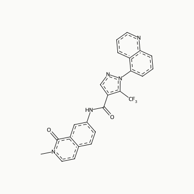 Cn1ccc2ccc(NC(=O)c3cnn(-c4cccc5ncccc45)c3C(F)(F)F)cc2c1=O